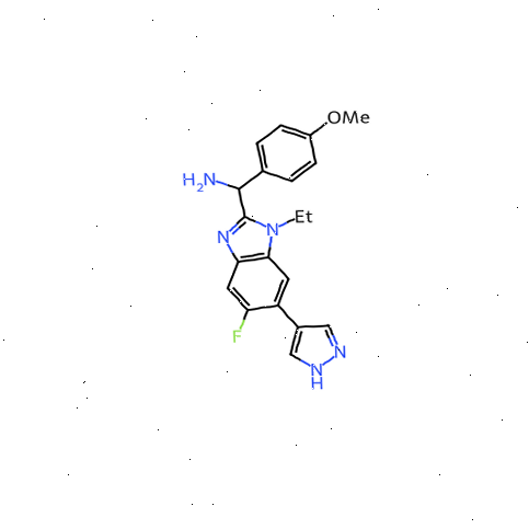 CCn1c(C(N)c2ccc(OC)cc2)nc2cc(F)c(-c3cn[nH]c3)cc21